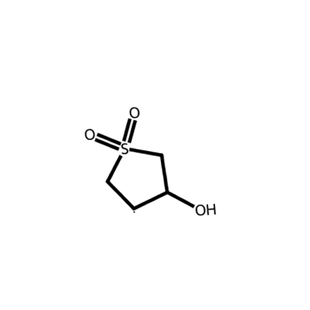 O=S1(=O)C[CH]C(O)C1